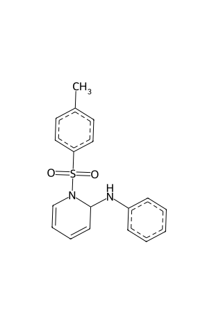 Cc1ccc(S(=O)(=O)N2C=CC=CC2Nc2ccccc2)cc1